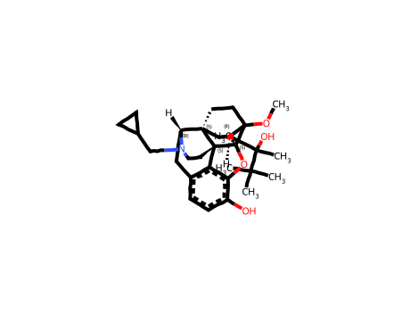 COC12CC[C@@]3(C[C@@H]1C(C)(O)C(C)(C)C)[C@H]1Cc4ccc(O)c5c4[C@@]3(CCN1CC1CC1)[C@]2(C)O5